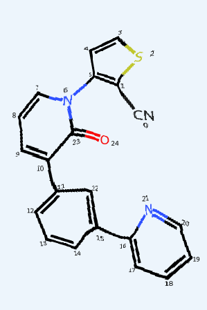 N#Cc1sccc1-n1cccc(-c2cccc(-c3ccccn3)c2)c1=O